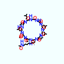 CC[C@H]1NC(=O)[C@@H](C[C@H](C)CCCCCCNC(C)=O)N(C)C(=O)[C@@H](C(C)C)N(C)C(=O)[C@@H](CC(C)C)N(C)C(=O)[C@H](CC(C)C)N(C)C(=O)[C@H](C)NC(=O)[C@@H](C)NC(=O)[C@@H](CCC(C)C)N(C)C(=O)[C@@H](C(C)C)NC(=O)[C@H](CC(C)C)N(C)C(=O)[C@@H](COC)N(C)C1=O